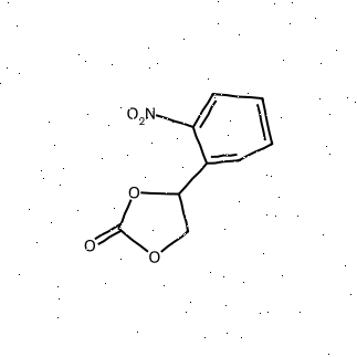 O=C1OCC(c2ccccc2[N+](=O)[O-])O1